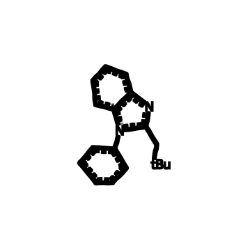 CC(C)(C)Cc1nc2ccccc2n1-c1ccccc1